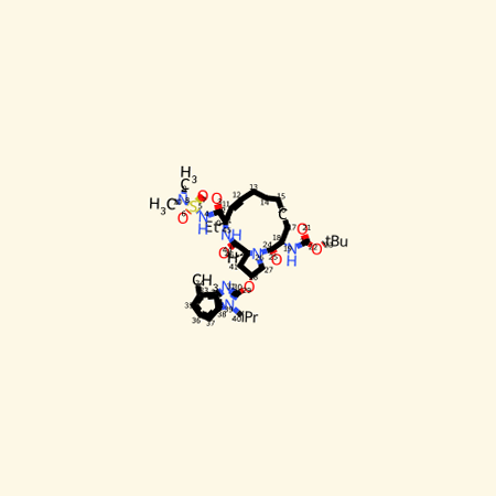 CC[C@]1(C(=O)NS(=O)(=O)N(C)C)/C=C\CCCCC[C@H](NC(=O)OC(C)(C)C)C(=O)N2C[C@H](Oc3nc4c(C)cccc4n3C(C)C)C[C@H]2C(=O)N1